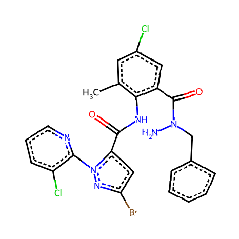 Cc1cc(Cl)cc(C(=O)N(N)Cc2ccccc2)c1NC(=O)c1cc(Br)nn1-c1ncccc1Cl